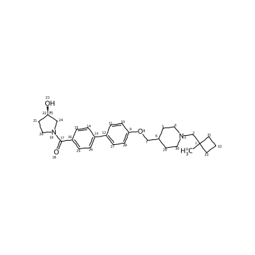 CC1(CN2CCC(COc3ccc(-c4ccc(C(=O)N5CC[C@@H](O)C5)cc4)cc3)CC2)CCC1